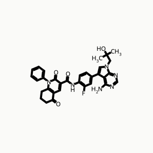 CC(C)(O)Cn1cc(-c2ccc(NC(=O)c3cc4c(n(-c5ccccc5)c3=O)CCCC4=O)c(F)c2)c2c(N)ncnc21